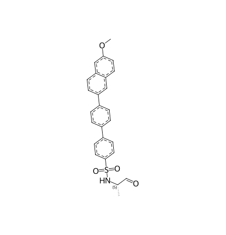 COc1ccc2cc(-c3ccc(-c4ccc(S(=O)(=O)N[C@@H](C)C=O)cc4)cc3)ccc2c1